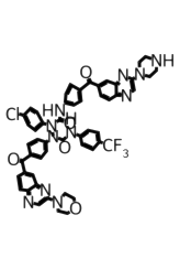 O=C(c1ccc(NC(=O)N(c2ccc(Cl)cc2)N(C(=O)Nc2ccc(C(F)(F)F)cc2)c2ccc(C(=O)c3ccc4ncc(N5CCOCC5)nc4c3)cc2)cc1)c1ccc2ncc(N3CCNCC3)nc2c1